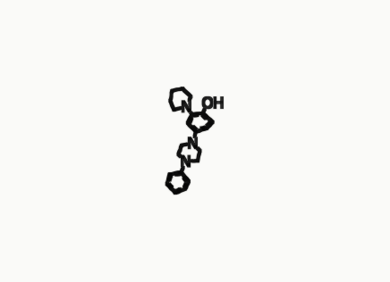 Oc1ccc(N2CCN(c3ccccc3)CC2)cc1N1CCCCC1